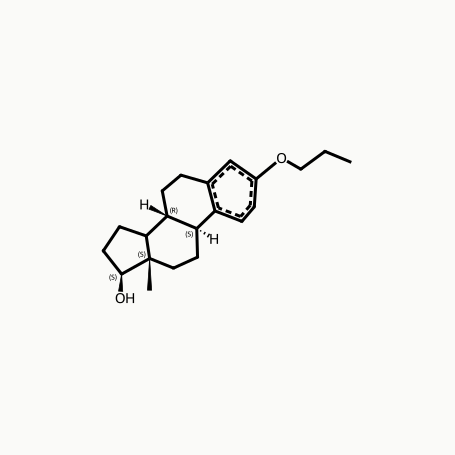 CCCOc1ccc2c(c1)CC[C@H]1C3CC[C@H](O)[C@@]3(C)CC[C@H]21